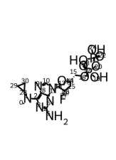 CN(c1nc(N)nc2c1ncn2[C@@H]1O[C@H](COP(=O)(O)OP(=O)(O)O)C[C@@H]1F)C1CC1